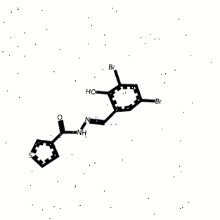 O=C(N/N=C/c1cc(Br)cc(Br)c1O)c1ccsc1